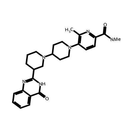 CNC(=O)c1ccc(N2CCC(N3CCCC(c4nc5ccccc5c(=O)[nH]4)C3)CC2)c(C)n1